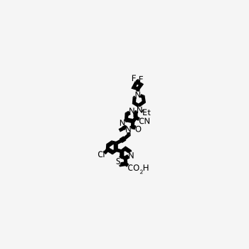 CCN(c1ncc2nc(C)n(CC#Cc3ccc(Cl)cc3-c3ccnc4c(C(=O)O)csc34)c(=O)c2c1C#N)C1CCN(C2CC(F)(F)C2)CC1